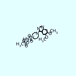 COc1cc2ncnc(N3CCCN(S(=O)(=O)NOS(C)(=O)=O)CC3)c2cc1OC